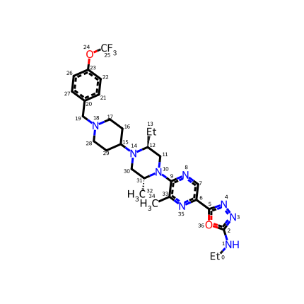 CCNc1nnc(-c2cnc(N3C[C@H](CC)N(C4CCN(Cc5ccc(OC(F)(F)F)cc5)CC4)C[C@H]3C)c(C)n2)o1